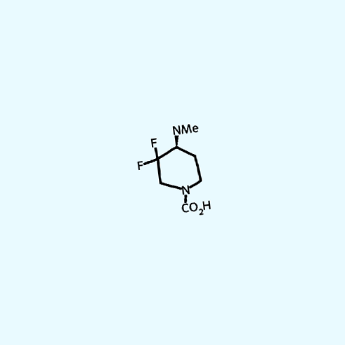 CN[C@H]1CCN(C(=O)O)CC1(F)F